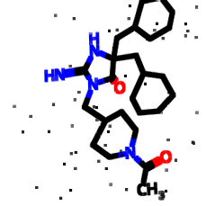 CC(=O)N1CCC(CN2C(=N)NC(CC3CCCCC3)(CC3CCCCC3)C2=O)CC1